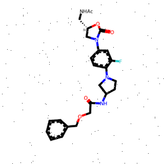 CC(=O)NC[C@H]1CN(c2ccc(N3CCC(NC(=O)COCc4ccccc4)C3)c(F)c2)C(=O)O1